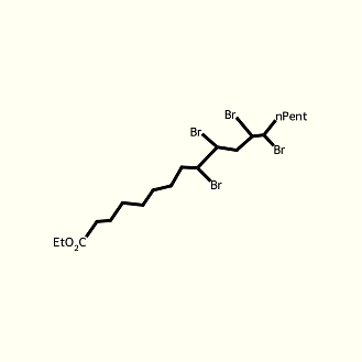 CCCCCC(Br)C(Br)CC(Br)C(Br)CCCCCCCC(=O)OCC